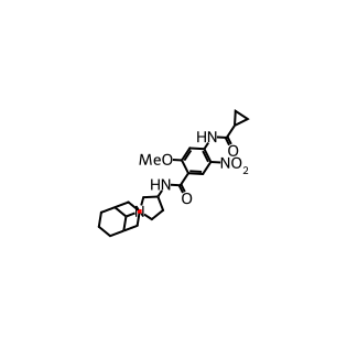 COc1cc(NC(=O)C2CC2)c([N+](=O)[O-])cc1C(=O)NC1CCN(C2C3CCCC2CCC3)C1